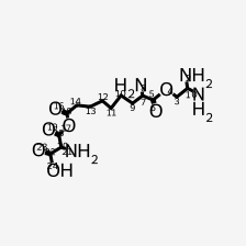 NC(N)COC(=O)C(N)CCCCCCC(=O)OC(=O)C(N)C(=O)O